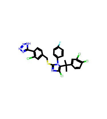 CC(C)(c1ccc(Cl)c(Cl)c1)c1c(Cl)nc(SCc2ccc(-c3nnn[nH]3)c(Cl)c2)n1-c1ccc(F)cc1